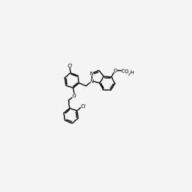 O=C(O)Oc1cccc2c1cnn2Cc1cc(Cl)ccc1OCc1ccccc1Cl